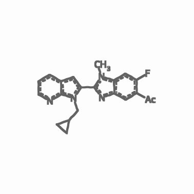 CC(=O)c1cc2nc(-c3cc4cccnc4n3CC3CC3)n(C)c2cc1F